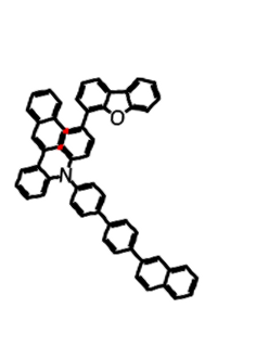 c1ccc(N(c2ccc(-c3ccc(-c4ccc5ccccc5c4)cc3)cc2)c2ccc(-c3cccc4c3oc3ccccc34)cc2)c(-c2ccc3ccccc3c2)c1